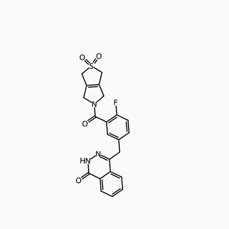 O=C(c1cc(Cc2n[nH]c(=O)c3ccccc23)ccc1F)N1CC2=C(C1)CS(=O)(=O)C2